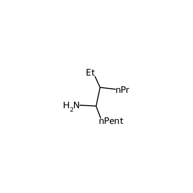 CCCCCC(N)C(CC)CCC